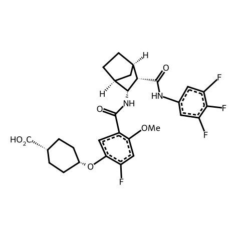 COc1cc(F)c(O[C@H]2CC[C@@H](C(=O)O)CC2)cc1C(=O)N[C@@H]1[C@H]2CC[C@H](C2)[C@@H]1C(=O)Nc1cc(F)c(F)c(F)c1